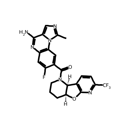 Cc1ncc2c(N)nc3cc(F)c(C(=O)N4CCC[C@@H]5Oc6nc(C(F)(F)F)ccc6[C@@H]54)cc3n12